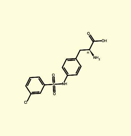 N[C@@H](Cc1ccc(NS(=O)(=O)c2cccc(Cl)c2)cc1)C(=O)O